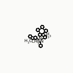 CC1(C)c2ccccc2-c2ccc(-c3nc(-c4ccccc4)nc(-c4ccccc4-c4cccc5c4C(C)(C)c4ccccc4-c4ccccc4-c4ccccc4-5)n3)cc21